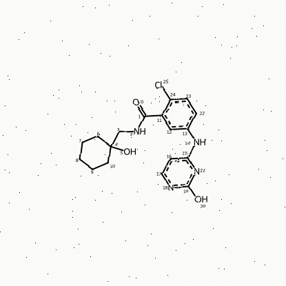 O=C(NCC1(O)CCCCC1)c1cc(Nc2ccnc(O)n2)ccc1Cl